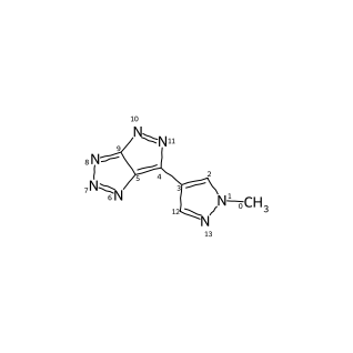 Cn1cc(C2=C3N=NN=C3N=N2)cn1